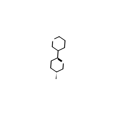 C[C@H]1CCC(C2CCCOC2)=NC1